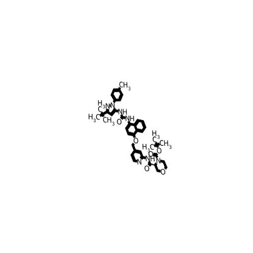 Cc1ccc(-n2nc(C(C)(C)C)cc2NC(=O)Nc2ccc(OCc3ccnc(NC(=O)[C@@H]4COCCN4C(=O)OC(C)(C)C)c3)c3ccccc23)cc1